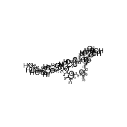 C=C1C(CC)O[C@@H](CC[C@@H]2O[C@@H](CCC#CO[C@@H]3C4OC5(O)[C@H](OC[C@@H]5O)[C@@H]4O[C@H]4CCC(CC(=O)O[C@H]5CO[C@H]6C[C@H]7OC(C[C@@H]8O[C@@]9(CC[C@@H]8O)C[C@H](C)[C@@H]8OC([C@@H](O)C[C@@H](O)CO)C[C@@H]8O9)CC7OC6C5)O[C@@H]43)CC2=C)C[C@H]1C